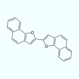 c1ccc2c(c1)ccc1cc(-c3cc4ccc5ccccc5c4o3)oc12